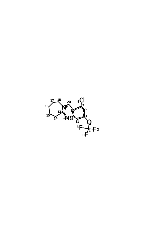 FC(F)(F)Oc1cc(Cl)c2c(c1)N=C1CCCCCN1C2